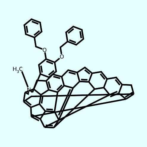 CN1CC2C3=c4c5c6c7c(cc8cc9cc%10c%11c9c9c%12c%13c%14c%15c%16c(c4c%14c5c%12c7c89)=C(CC%16=CC(=C%10)C%15C%11%13)C3)CC62C1c1ccc(OCc2ccccc2)c(OCc2ccccc2)c1